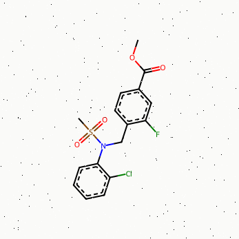 COC(=O)c1ccc(CN(c2ccccc2Cl)S(C)(=O)=O)c(F)c1